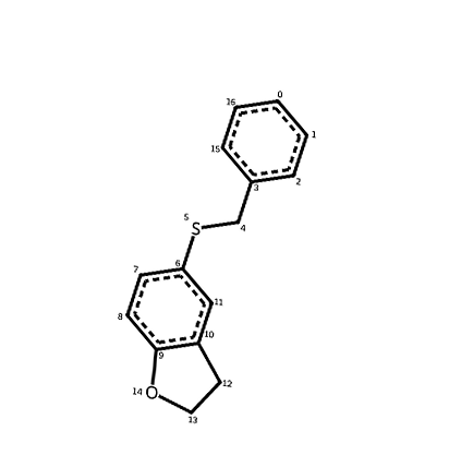 c1ccc(CSc2ccc3c(c2)CCO3)cc1